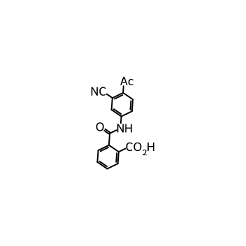 CC(=O)c1ccc(NC(=O)c2ccccc2C(=O)O)cc1C#N